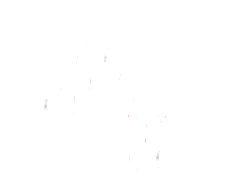 O=C(OC=CCc1ccccc1Cc1ccccc1)c1ccccc1